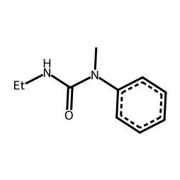 CCNC(=O)N(C)c1ccccc1